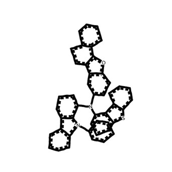 c1ccc(-n2c3ccccc3c3cccc(N(c4ccc5oc6c7ccccc7ccc6c5c4)c4cccc5sc6ccccc6c45)c32)cc1